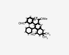 COC(C)c1nc2c(c(C3CCCCC3)c1-c1cc(C=O)ccc1C(F)(F)F)C(O)CC(C)(C)C2